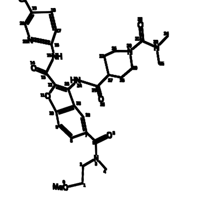 COCCN(C)C(=O)c1ccc2oc(C(=O)Nc3ccc(Cl)cn3)c(NC(=O)C3CCN(C(=O)N(C)C)CC3)c2c1